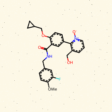 COc1ccc(CNC(=O)c2cc(-c3c(CO)ccc[n+]3[O-])ccc2OCC2CC2)cc1F